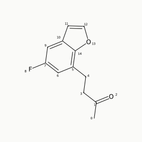 CC(=O)CCc1cc(F)cc2ccoc12